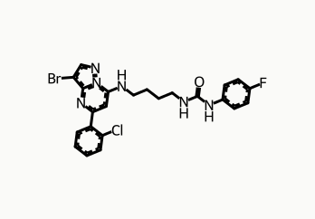 O=C(NCCCCNc1cc(-c2ccccc2Cl)nc2c(Br)cnn12)Nc1ccc(F)cc1